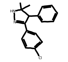 CC1(C)NN=C(c2ccc(Cl)cc2)C1c1ccccc1